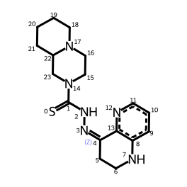 S=C(N/N=C1/CCNc2cccnc21)N1CCN2CCCCC2C1